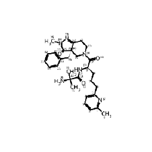 Cc1cccc(CCC[C@@H](NC(=O)C(C)(C)N)C(=O)N2CCC3=NN(C)C(=O)[C@]3(Cc3ccccc3)C2)n1